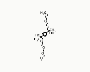 CCOCCOCCOCC(C)(O)c1ccc(C(C)(O)COCCOCCOC)cc1